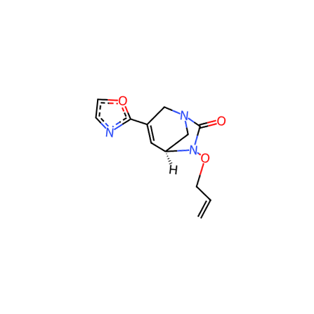 C=CCON1C(=O)N2CC(c3ncco3)=C[C@H]1C2